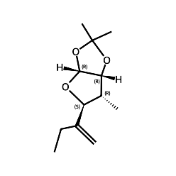 C=C(CC)[C@H]1O[C@@H]2OC(C)(C)O[C@@H]2[C@@H]1C